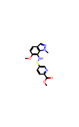 COC(=O)c1ccc(SNc2c(OC)ccc3cnn(C)c23)cn1